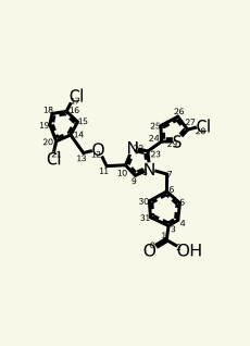 O=C(O)c1ccc(Cn2cc(COCc3cc(Cl)ccc3Cl)nc2-c2ccc(Cl)s2)cc1